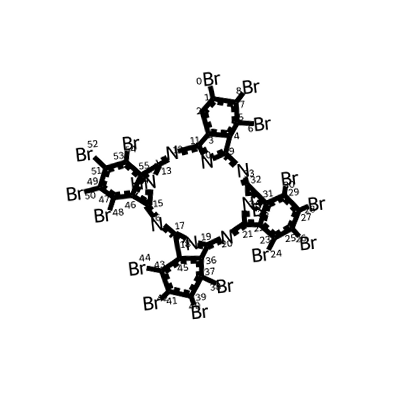 Brc1cc2c(c(Br)c1Br)-c1nc-2nc2[nH]c(nc3nc(nc4c5c(Br)c(Br)c(Br)c(Br)c5c(n1)n4Br)-c1c(Br)c(Br)c(Br)c(Br)c1-3)c1c(Br)c(Br)c(Br)c(Br)c21